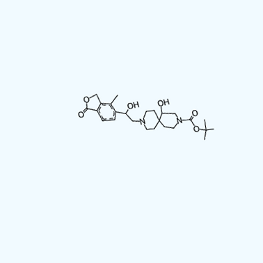 Cc1c(C(O)CN2CCC3(CC2)CCN(C(=O)OC(C)(C)C)CC3O)ccc2c1COC2=O